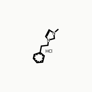 CN1C=CN(CCc2ccccc2)C1.Cl